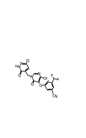 N#Cc1cc(Oc2c(C(F)(F)F)ncn(Cc3cc(Cl)n[nH]c3=O)c2=O)cc(C(F)F)c1